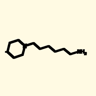 NCCCCCCN1CC[CH]CC1